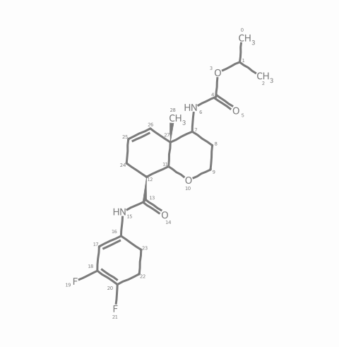 CC(C)OC(=O)NC1CCOC2[C@@H](C(=O)NC3=CC(F)=C(F)CC3)CC=C[C@]12C